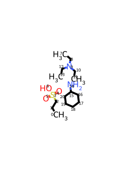 CCCS(=O)(=O)O.CCN(CC)CC.NC1CCCCC1